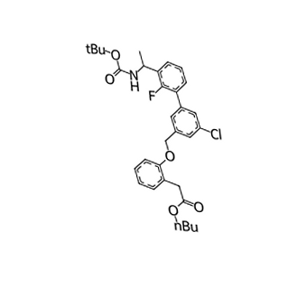 CCCCOC(=O)Cc1ccccc1OCc1cc(Cl)cc(-c2cccc(C(C)NC(=O)OC(C)(C)C)c2F)c1